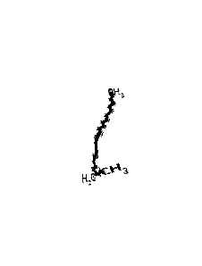 [CH2]C(CCC)CCCCCCCCCCCCCCCCC